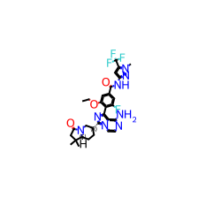 CCOc1cc(C(=O)Nc2cc(C(F)(F)F)n(C)n2)cc(F)c1-c1nc([C@@H]2CC[C@@H]3N(C2)C(=O)CC3(C)C)n2ccnc(N)c12